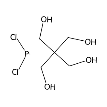 Cl[P]Cl.OCC(CO)(CO)CO